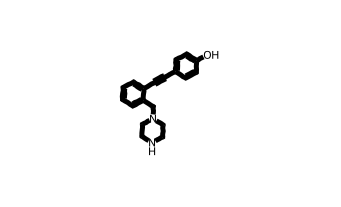 Oc1ccc(C#Cc2ccccc2CN2CCNCC2)cc1